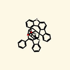 c1ccc(-c2nc(-c3cccc4sc5ccc6c(c5c34)C3(c4ccccc4-6)C4CC5CC(C4)CC3C5)nc3sc4ccccc4c23)cc1